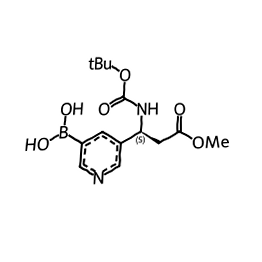 COC(=O)C[C@H](NC(=O)OC(C)(C)C)c1cncc(B(O)O)c1